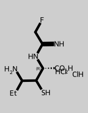 CCC(N)C(S)[C@H](NC(=N)CF)C(=O)O.Cl.Cl